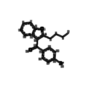 CCCCc1oc2ccccc2c1C(=O)c1ccc(Br)cc1